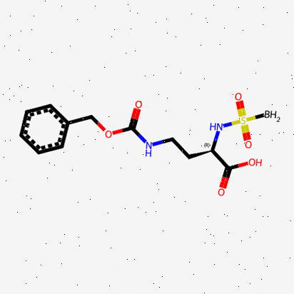 BS(=O)(=O)N[C@H](CCNC(=O)OCc1ccccc1)C(=O)O